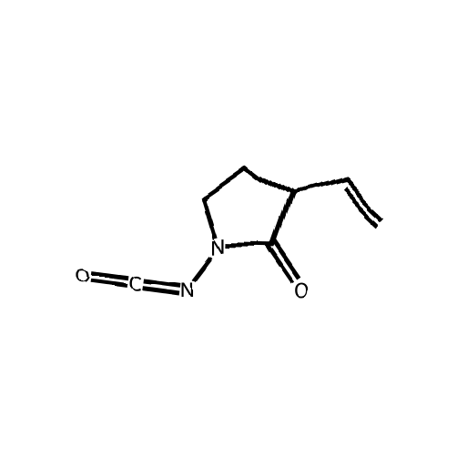 C=CC1CCN(N=C=O)C1=O